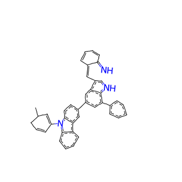 CC1C=C(n2c3ccccc3c3cc(-c4cc(-c5ccccc5)c5[nH]cc(/C=C6/C=CC=CC6=N)c5c4)ccc32)C=CC1